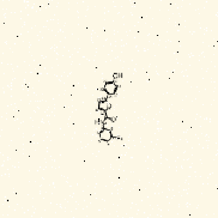 O=C(Nc1cccc(F)c1)c1ccc(-c2ccc(O)cc2)o1